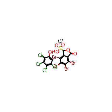 O=C1OC(S(=O)(=O)[O-])c2c(Br)c(Br)c(Br)c(Br)c21.Oc1cc(Cl)c(Cl)c(Cl)c1Cl.[Li+]